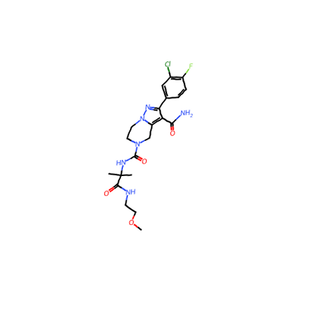 COCCNC(=O)C(C)(C)NC(=O)N1CCn2nc(-c3ccc(F)c(Cl)c3)c(C(N)=O)c2C1